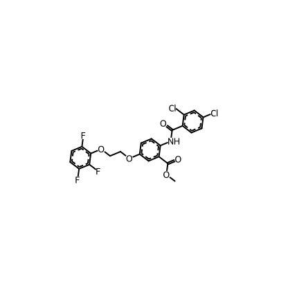 COC(=O)c1cc(OCCOc2c(F)ccc(F)c2F)ccc1NC(=O)c1ccc(Cl)cc1Cl